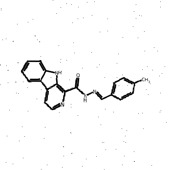 Cc1ccc(C=NNC(=O)c2nccc3c2[nH]c2ccccc23)cc1